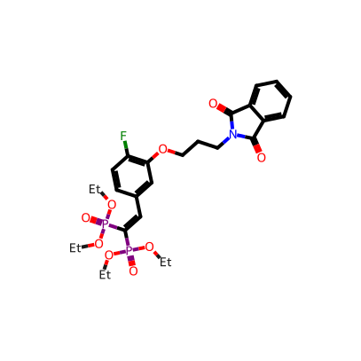 CCOP(=O)(OCC)C(=Cc1ccc(F)c(OCCCN2C(=O)c3ccccc3C2=O)c1)P(=O)(OCC)OCC